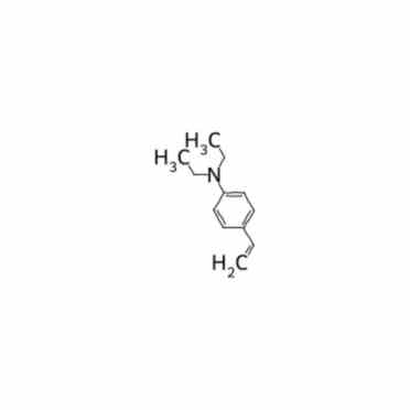 C=Cc1ccc(N(CC)CC)cc1